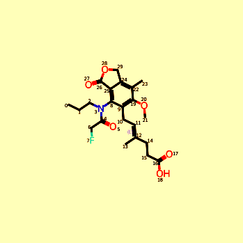 CCCN(C(=O)CF)c1c(C/C=C(\C)CCC(=O)O)c(OC)c(C)c2c1C(=O)OC2